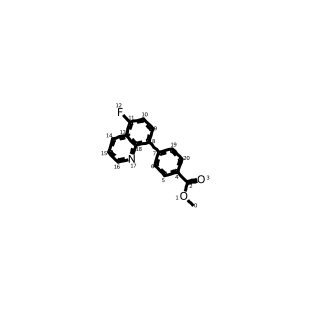 COC(=O)c1ccc(-c2ccc(F)c3cccnc23)cc1